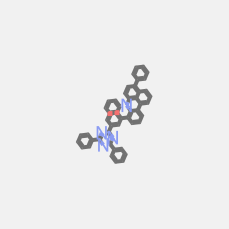 c1ccc(-c2nc(-c3ccccc3)nc(-c3cccc(-c4cccc5c4N(c4ccccc4)c4ccc(-c6ccccc6)c6cccc-5c46)c3)n2)cc1